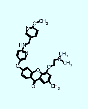 COc1ccc(CNc2ccc(Oc3ccc4c(=O)c5cc(C)cc(OCCN(C)C)c5oc4c3)cn2)cn1